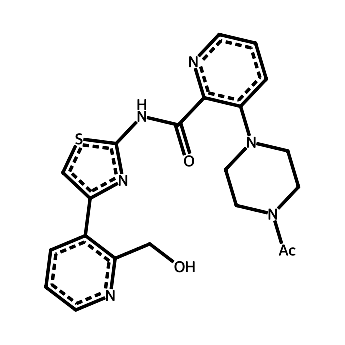 CC(=O)N1CCN(c2cccnc2C(=O)Nc2nc(-c3cccnc3CO)cs2)CC1